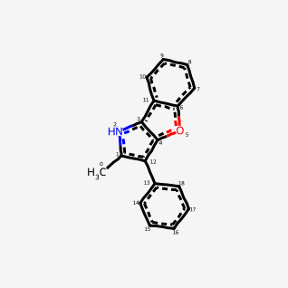 Cc1[nH]c2c(oc3ccccc32)c1-c1ccccc1